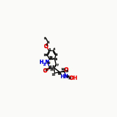 CCOc1ccc(C[C@]2(C(N)=O)C[C@@H]2C(=O)NO)cc1